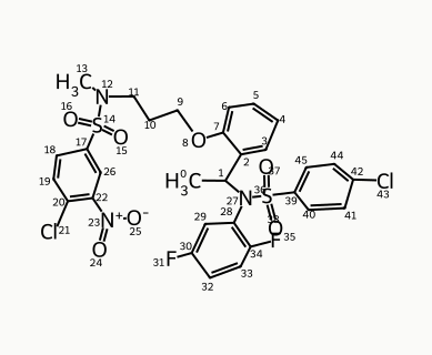 CC(c1ccccc1OCCCN(C)S(=O)(=O)c1ccc(Cl)c([N+](=O)[O-])c1)N(c1cc(F)ccc1F)S(=O)(=O)c1ccc(Cl)cc1